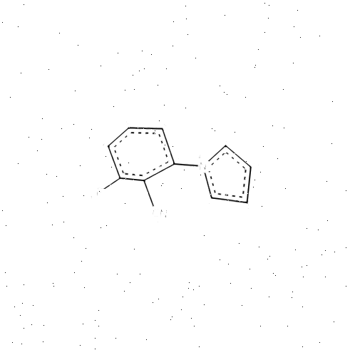 N#Cc1c(F)cccc1-n1cccc1